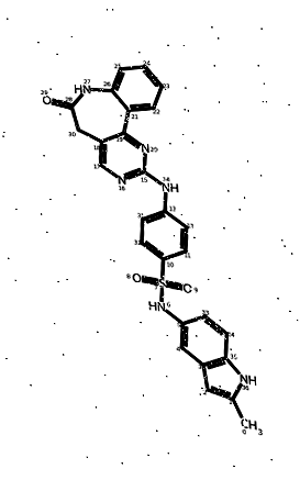 Cc1cc2cc(NS(=O)(=O)c3ccc(Nc4ncc5c(n4)-c4ccccc4NC(=O)C5)cc3)ccc2[nH]1